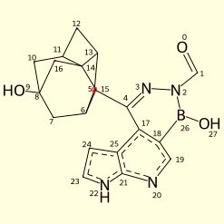 O=CN1N=C(C2C3CC4(O)CC5CC2C5(C3)C4)c2c(cnc3[nH]ccc23)B1O